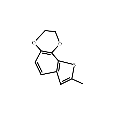 Cc1cc2ccc3c(c2s1)OCCO3